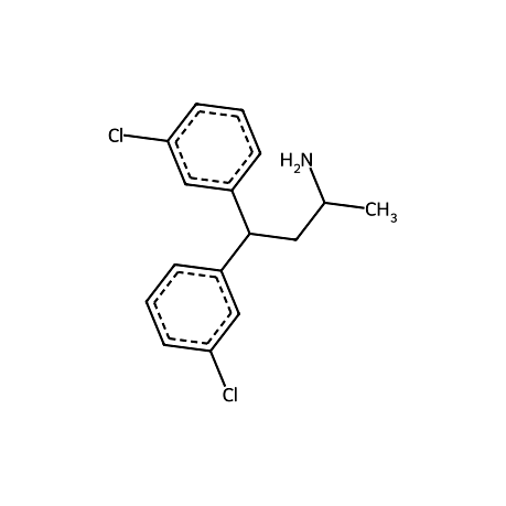 CC(N)CC(c1cccc(Cl)c1)c1cccc(Cl)c1